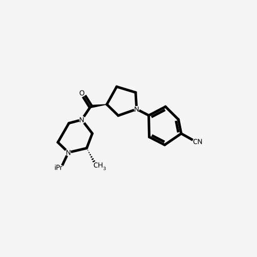 CC(C)N1CCN(C(=O)[C@H]2CCN(c3ccc(C#N)cc3)C2)C[C@@H]1C